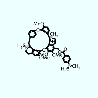 COc1ccc2cc1Oc1ccc(cc1)C[C@H]1c3cc(c(OC)cc3CCN1C)Oc1c(OC)c(OC)c(COC(=O)c3ccc(N(C)C)cc3)c3c1[C@H](C2)N(C)CC3